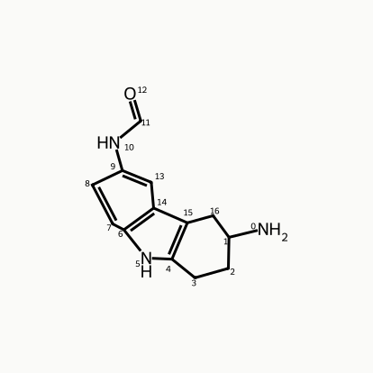 NC1CCc2[nH]c3ccc(NC=O)cc3c2C1